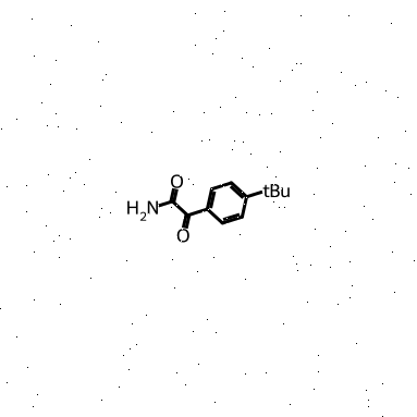 CC(C)(C)c1ccc(C(=O)C(N)=O)cc1